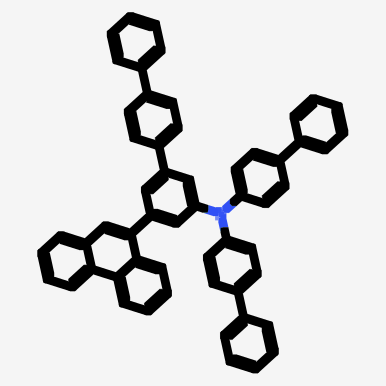 c1ccc(-c2ccc(-c3cc(-c4cc5ccccc5c5ccccc45)cc(N(c4ccc(-c5ccccc5)cc4)c4ccc(-c5ccccc5)cc4)c3)cc2)cc1